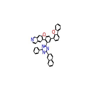 c1ccc(-c2nc(-c3ccc4ccccc4c3)nc(-c3cc(-c4cccc5c4oc4ccccc45)cc4oc5cc6cnccc6cc5c34)n2)cc1